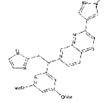 COc1cc(OC)cc(N(Cc2ncc[nH]2)c2ccc3ncc(-c4cnn(C)c4)nc3c2)c1